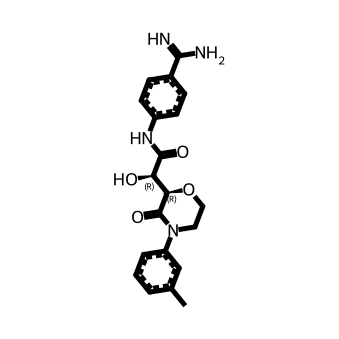 Cc1cccc(N2CCO[C@H]([C@@H](O)C(=O)Nc3ccc(C(=N)N)cc3)C2=O)c1